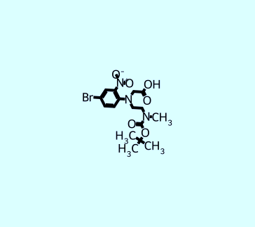 CN(CCN(CC(=O)O)c1ccc(Br)cc1[N+](=O)[O-])C(=O)OC(C)(C)C